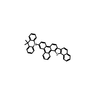 CC1(C)c2ccccc2N(c2ccc3c(c2)c2ccccc2c2c3ccc3c4ccc5ccccc5c4sc32)c2ccccc21